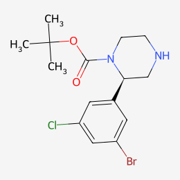 CC(C)(C)OC(=O)N1CCNC[C@H]1c1cc(Cl)cc(Br)c1